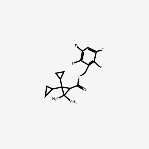 CC1(C)C(C(=O)OCc2c(F)c(F)cc(F)c2F)C1(C1CC1)C1CC1